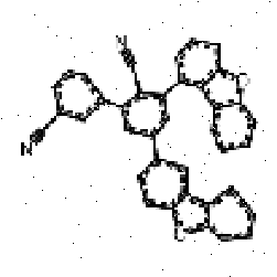 N#Cc1cccc(-c2cc(-c3ccc4oc5ccccc5c4c3)cc(-c3cccc4oc5ccccc5c34)c2C#N)c1